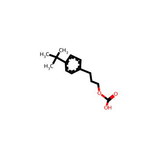 CC(C)(C)c1ccc(CCCOC(=O)O)cc1